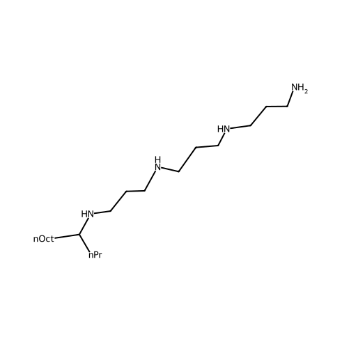 CCCCCCCCC(CCC)NCCCNCCCNCCCN